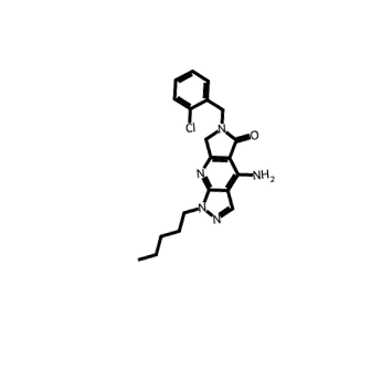 CCCCCn1ncc2c(N)c3c(nc21)CN(Cc1ccccc1Cl)C3=O